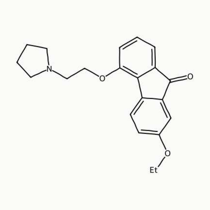 CCOc1ccc2c(c1)C(=O)c1cccc(OCCN3CCCC3)c1-2